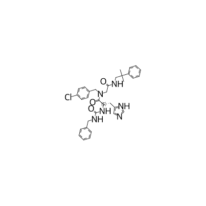 CC(C)(CNC(=O)CN(Cc1ccc(Cl)cc1)C(=O)[C@H](Cc1cnc[nH]1)NC(=O)NCc1ccccc1)c1ccccc1